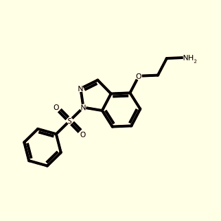 NCCOc1cccc2c1cnn2S(=O)(=O)c1ccccc1